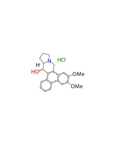 COc1cc2c3c(c4ccccc4c2cc1OC)[C@@H](O)[C@H]1CCCN1C3.Cl